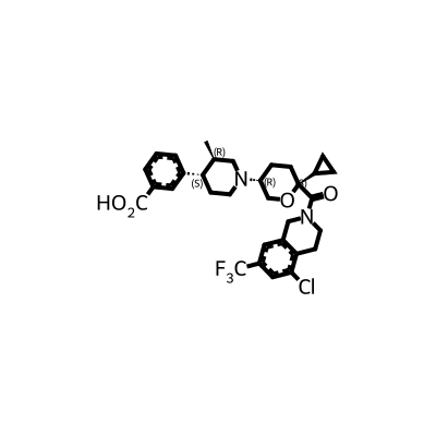 C[C@H]1CN([C@@H]2CC[C@@](C(=O)N3CCc4c(Cl)cc(C(F)(F)F)cc4C3)(C3CC3)OC2)CC[C@@H]1c1cccc(C(=O)O)c1